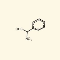 O=[C]C(c1ccccc1)[N+](=O)[O-]